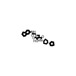 O=C(CN1CC(C(=O)N[C@H]2CC[C@@H](c3ccccc3)CC2)=C(O)C1=O)Nc1ccc2ccccc2c1